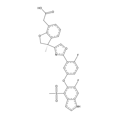 C[C@]1(c2coc(-c3cc(Oc4c(F)cc5[nH]ccc5c4S(C)(=O)=O)ccc3F)n2)COc2c(CC(=O)O)cccc21